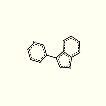 c1cncc(-c2csc3ccccc23)c1